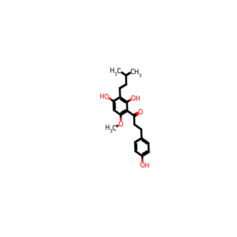 COc1cc(O)c(CCC(C)C)c(O)c1C(=O)CCc1ccc(O)cc1